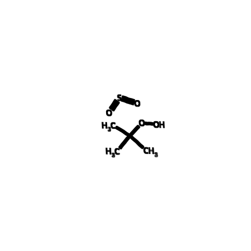 CC(C)(C)OO.O=S=O